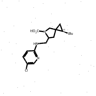 CC(C)(C)[C@@H]1CC12CC(CNc1ccc(Cl)cn1)N(C(=O)O)C2